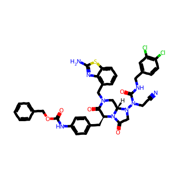 N#CCN(C(=O)NCc1ccc(Cl)c(Cl)c1)N1CC(=O)N2[C@@H](Cc3ccc(NC(=O)OCc4ccccc4)cc3)C(=O)N(Cc3cccc4sc(N)nc34)C[C@@H]21